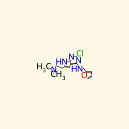 CN(C)CCc1cc2c(NCc3ccco3)nc(Cl)nc2[nH]1